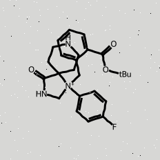 CC(C)(C)OC(=O)c1ccccc1C[N+]1(c2ccc(F)cc2)CNC(=O)C12CCNCC2